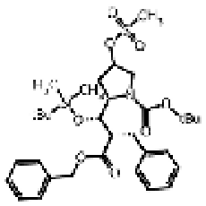 CC(C)(C)OC(=O)N1CC(OS(C)(=O)=O)CC1[C@@H](O[Si](C)(C)C(C)(C)C)[C@H](Cc1ccccc1)C(=O)OCc1ccccc1